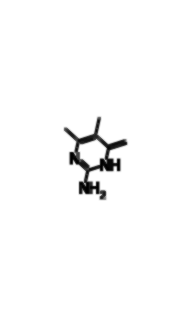 C=C1NC(N)=NC(C)=C1C